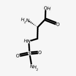 N[C@@H](CNS(N)(=O)=O)C(=O)O